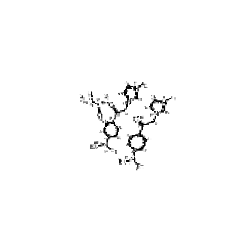 CCN(CC)c1ccc(C(=O)C[n+]2ccn(C)c2)cc1.CCN(CC)c1ccc(C(=O)C[n+]2ccn(C)c2)cc1.O=[S-](=O)O.[Br-]